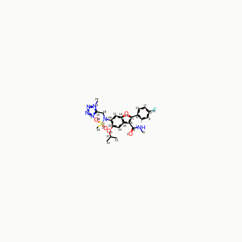 CNC(=O)c1c(-c2ccc(F)cc2)oc2cc(N(Cc3nnnn3C)S(C)(=O)=O)c(OC(C)C)cc12